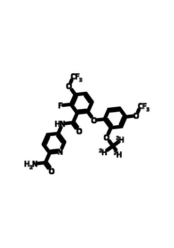 [2H]C([2H])([2H])Oc1cc(OC(F)(F)F)ccc1Oc1ccc(OC(F)(F)F)c(F)c1C(=O)Nc1ccc(C(N)=O)nc1